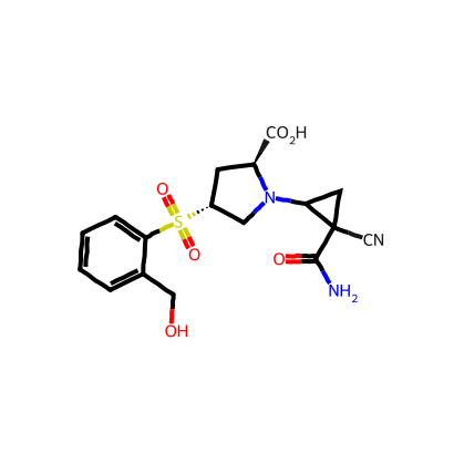 N#CC1(C(N)=O)CC1N1C[C@H](S(=O)(=O)c2ccccc2CO)C[C@H]1C(=O)O